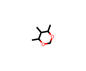 CC1OCOC(C)C1C